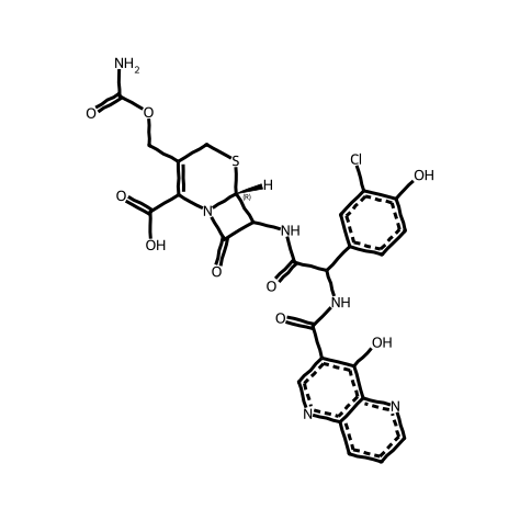 NC(=O)OCC1=C(C(=O)O)N2C(=O)C(NC(=O)C(NC(=O)c3cnc4cccnc4c3O)c3ccc(O)c(Cl)c3)[C@H]2SC1